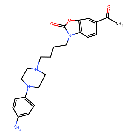 CC(=O)c1ccc2c(c1)oc(=O)n2CCCCN1CCN(c2ccc(N)cc2)CC1